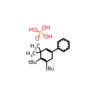 CC(C)(C)C1=C(C(C)(C)C)C(C)(C)C=C(c2ccccc2)C1.O=P(O)(O)O